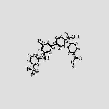 COC(=O)[C@H]1CC[C@H](C(C)(O)c2ccc(-c3cc(C)cc(Nc4nccc(C(F)(F)F)n4)c3)cc2)CC1